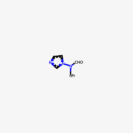 CCCN([C]=O)n1ccnc1